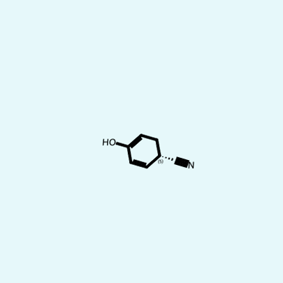 N#C[C@@H]1C=CC(O)=CC1